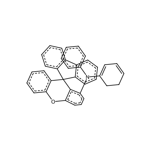 C1=CCCC(N(c2ccccc2)c2cccc3c2C2(c4ccccc4O3)c3ccccc3-c3ccccc32)=C1